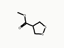 COC(=O)C1CSSC1